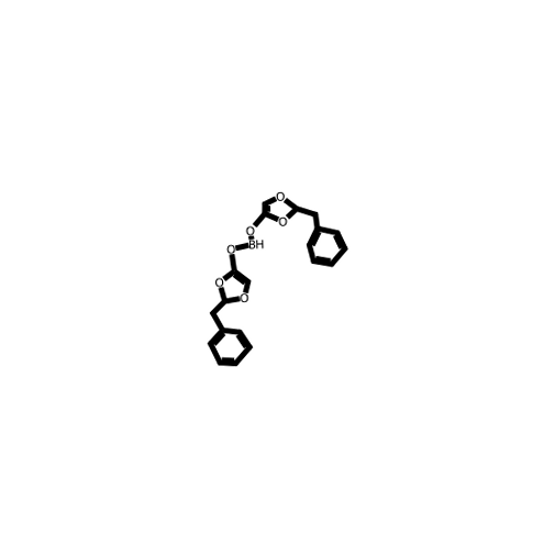 B(OC1=COC(Cc2ccccc2)O1)OC1=COC(Cc2ccccc2)O1